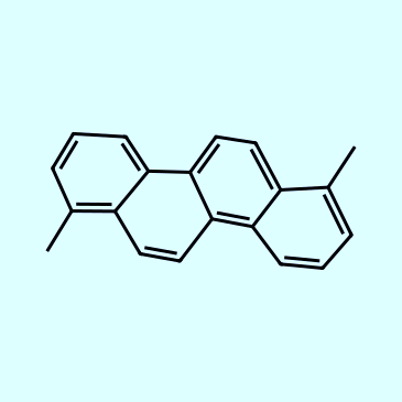 Cc1cccc2c1ccc1c3cccc(C)c3ccc21